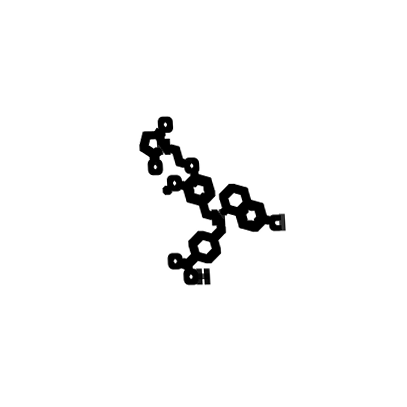 COc1cc(CN(CC2CCC(C(=O)O)CC2)[C@H]2CCCc3cc(Cl)ccc32)ccc1OCCN1C(=O)CCC1=O